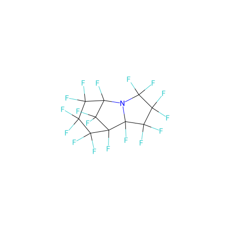 FC1(F)N2C3(F)C(F)(F)C(F)(F)C(F)(F)C(F)(C3(F)F)C2(F)C(F)(F)C1(F)F